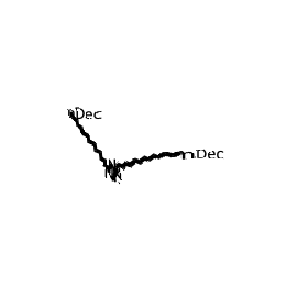 [CH2]c1nc(CCCCCCCCCCCCCCCCCCCCCCC)nc(CCCCCCCCCCCCCCCCCCCCCCC)n1